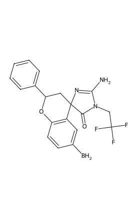 Bc1ccc2c(c1)C1(CC(c3ccccc3)O2)N=C(N)N(CC(F)(F)F)C1=O